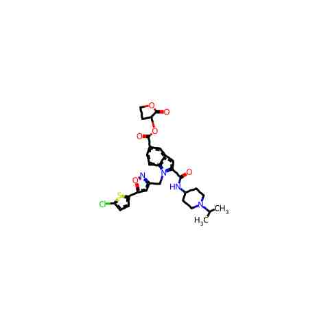 CC(C)N1CCC(NC(=O)c2cc3cc(C(=O)OC4CCOC4=O)ccc3n2Cc2cc(-c3ccc(Cl)s3)on2)CC1